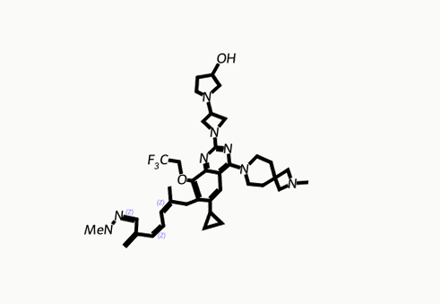 C=C(/C=C\C=C(\C)Cc1c(C2CC2)cc2c(N3CCC4(CC3)CN(C)C4)nc(N3CC(N4CCC(O)C4)C3)nc2c1OCC(F)(F)F)/C=N\NC